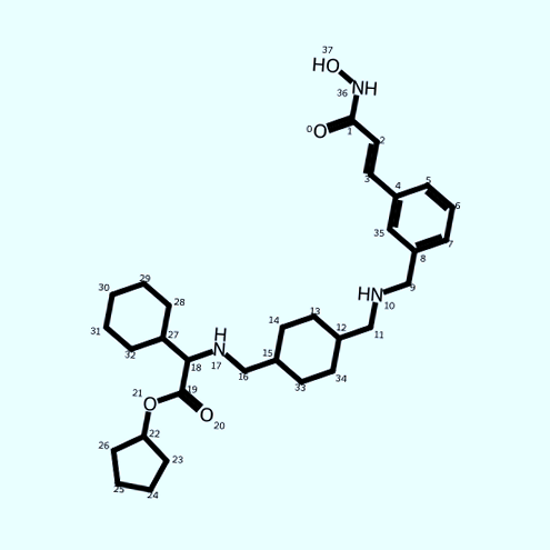 O=C(/C=C/c1cccc(CNCC2CCC(CNC(C(=O)OC3CCCC3)C3CCCCC3)CC2)c1)NO